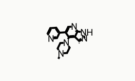 CN1CCN(c2c(-c3cccnc3)cnc3[nH]n[c]c23)CC1